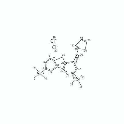 C[Si](C)(C)c1ccc2c(c1)-c1cc([Si](C)(C)C)c[c]([Zr+2][C]3=CC=CC3)c1C2.[Cl-].[Cl-]